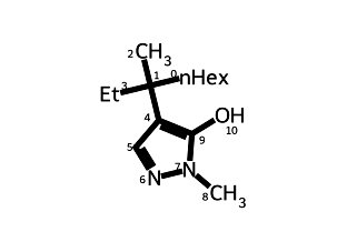 CCCCCCC(C)(CC)c1cnn(C)c1O